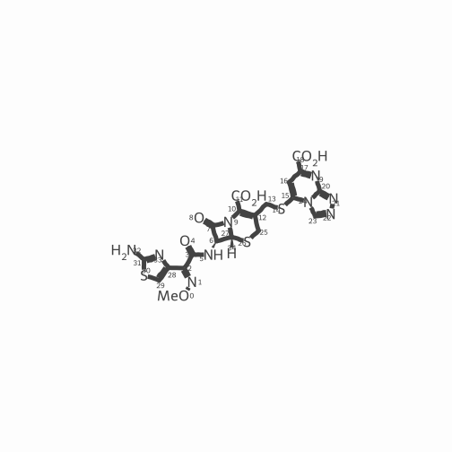 CON=C(C(=O)N[C@@H]1C(=O)N2C(C(=O)O)=C(CSc3cc(C(=O)O)nc4nncn34)CS[C@H]12)c1csc(N)n1